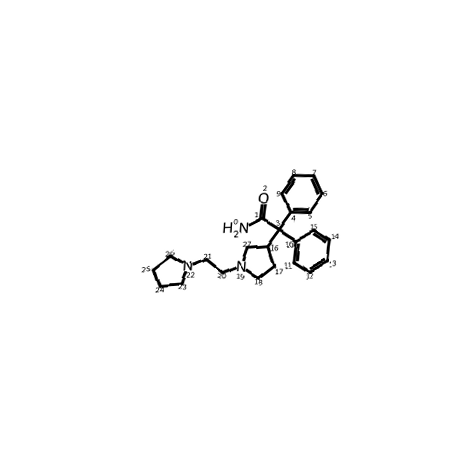 NC(=O)C(c1ccccc1)(c1ccccc1)C1CCN(CCN2CCCC2)C1